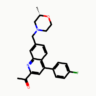 CC(=O)c1cc(-c2ccc(F)cc2)c2ccc(CN3CCO[C@@H](C)C3)cc2n1